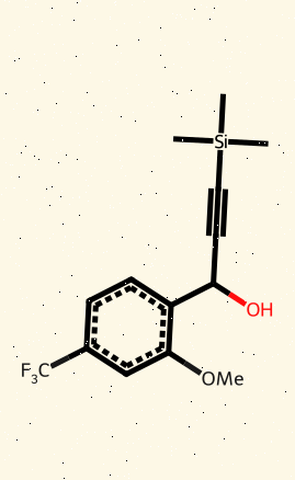 COc1cc(C(F)(F)F)ccc1C(O)C#C[Si](C)(C)C